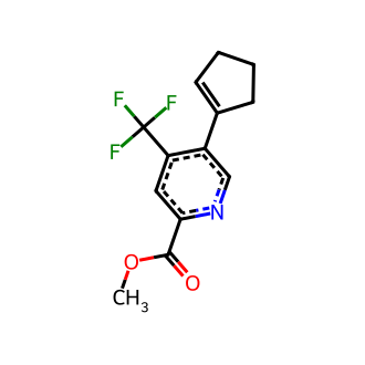 COC(=O)c1cc(C(F)(F)F)c(C2=CCCC2)cn1